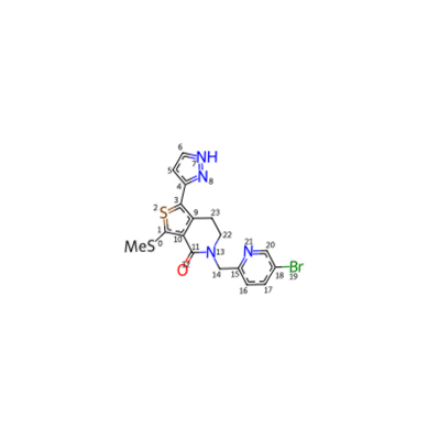 CSc1sc(-c2cc[nH]n2)c2c1C(=O)N(Cc1ccc(Br)cn1)CC2